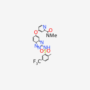 CNC(=O)c1cc(Oc2ccc3nnc(NS(=O)(=O)c4cc(C(F)(F)F)ccc4C)nc3c2)ccn1